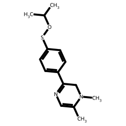 CC1=CN=C(c2ccc(SOC(C)C)cc2)CN1C